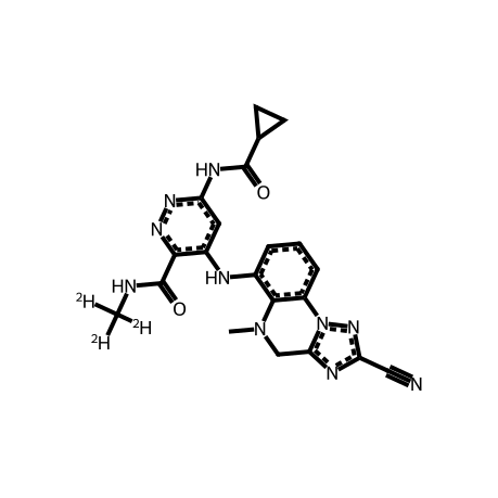 [2H]C([2H])([2H])NC(=O)c1nnc(NC(=O)C2CC2)cc1Nc1cccc2c1N(C)Cc1nc(C#N)nn1-2